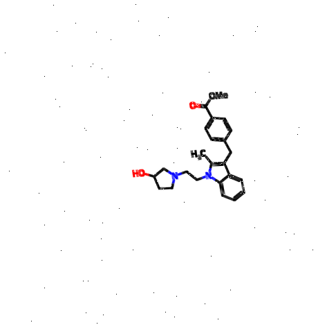 COC(=O)c1ccc(Cc2c(C)n(CCN3CCC(O)C3)c3ccccc23)cc1